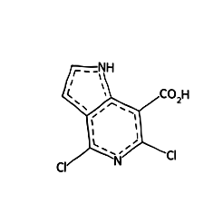 O=C(O)c1c(Cl)nc(Cl)c2cc[nH]c12